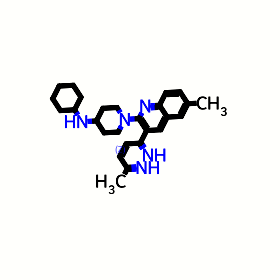 CC(=N)/C=C\C(=N)c1cc2cc(C)ccc2nc1N1CCC(NC2CCCCC2)CC1